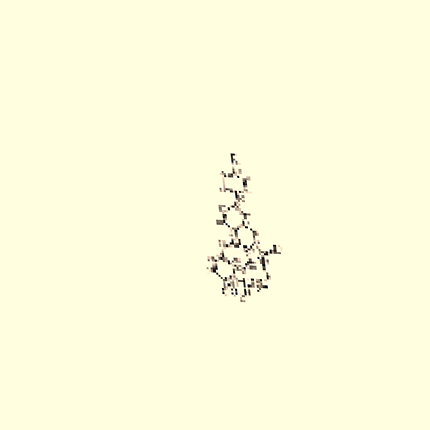 O=C(O)CN1C(=O)/C(=C/c2cc(-c3ccc(F)cc3)ccc2OCc2ccc(C(=O)O)cc2)SC1=S